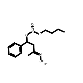 CCCCO[PH](=O)OC(CC(C)=NO)c1ccccc1.[H+]